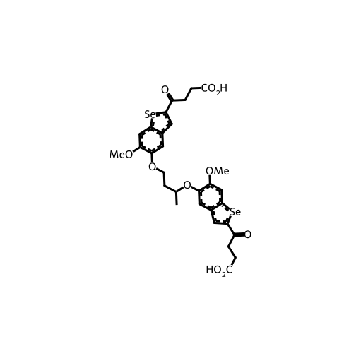 COc1cc2[se]c(C(=O)CCC(=O)O)cc2cc1OCCC(C)Oc1cc2cc(C(=O)CCC(=O)O)[se]c2cc1OC